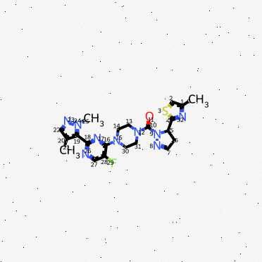 Cc1csc(C2CC=NN2C(=O)N2CCN(c3nc(-c4c(C)cnn4C)ncc3F)CC2)n1